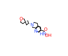 O=C(NO)c1cnc2c(c1)CCN([C@H]1C[C@@]3(CCOC3)C1)C2